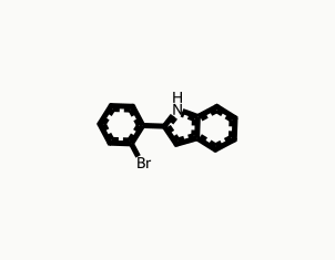 Brc1ccccc1-c1cc2ccccc2[nH]1